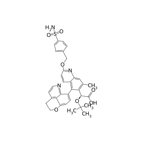 Cc1cc2nc(OCc3ccc(S(N)(=O)=O)cc3)ccc2c(-c2ccc3c4c(ccnc24)CCO3)c1[C@H](OC(C)(C)C)C(=O)O